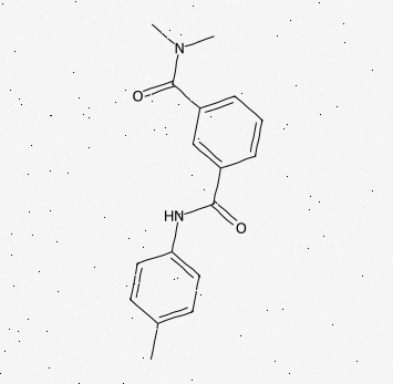 Cc1ccc(NC(=O)c2cccc(C(=O)N(C)C)c2)cc1